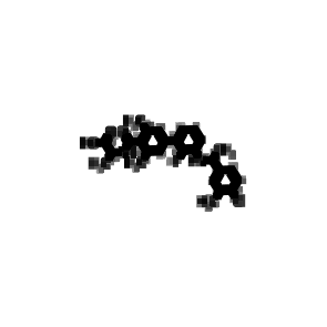 Cc1cc(C(C)Nc2cccc(-c3cc(C)c(C(=O)NC(C)C(=O)O)c(C)c3)c2F)ccc1Cl